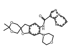 CC1(C)OCC2(CO1)Cc1cc(NC(=O)c3cnn4cccnc34)c(N3CCOCC3)cc1O2